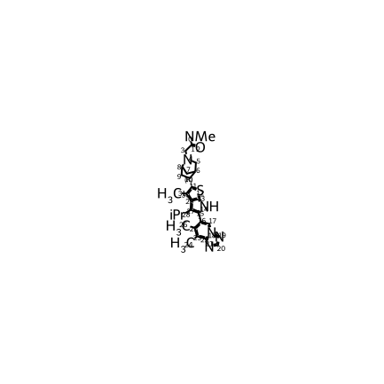 CNC(=O)CN1CC2CC1C[C@H]2c1sc2[nH]c(-c3cn4ncnc4c(C)c3C)c(C(C)C)c2c1C